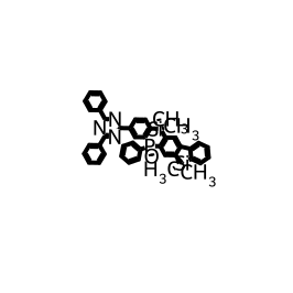 C[Si]1(C)c2ccccc2-c2cc3c(cc21)P(=O)(c1ccccc1)c1cc(-c2nc(-c4ccccc4)nc(-c4ccccc4)n2)ccc1[Si]3(C)C